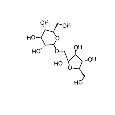 OC[C@H]1O[C@@](O)(CO[C@@H]2O[C@H](CO)[C@@H](O)[C@H](O)[C@H]2O)[C@@H](O)[C@@H]1O